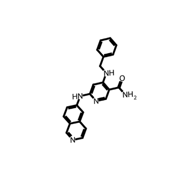 NC(=O)c1cnc(Nc2ccc3cnccc3c2)cc1NCc1ccccc1